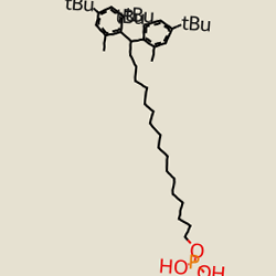 Cc1cc(C(C)(C)C)cc(C(C)(C)C)c1C(CCCCCCCCCCCCCCCCCOP(O)O)c1c(C)cc(C(C)(C)C)cc1C(C)(C)C